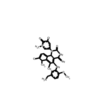 COc1ccc(CN)cc1NC1=C2C(=N)NC(=O)N(c3cc(Cl)c(=O)n(C)c3)C2C2=CC=C(Cl)C(C)C2=C1C